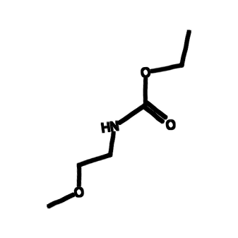 CCOC(=O)NCCOC